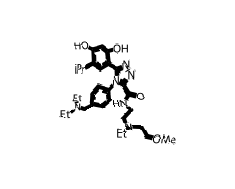 CCN(CCNC(=O)c1nnc(-c2cc(C(C)C)c(O)cc2O)n1-c1ccc(CN(CC)CC)cc1)CCOC